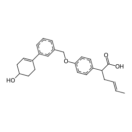 CC=CCC(C(=O)O)c1ccc(OCc2cccc(C3=CCC(O)CC3)c2)cc1